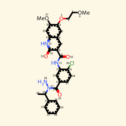 COCCOc1cc2cc(C(=O)Nc3cc(C(=O)N(N)C(C)c4ccccc4)ccc3Cl)c(=O)[nH]c2cc1OC